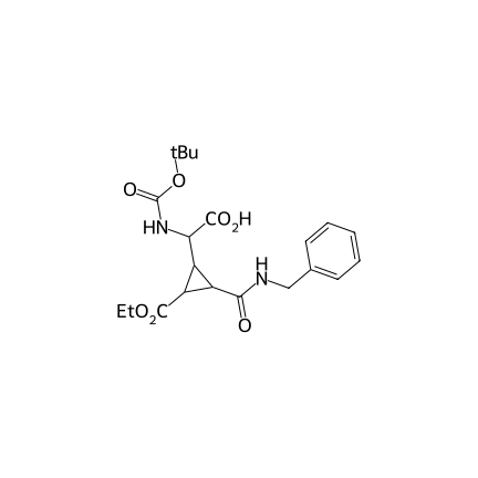 CCOC(=O)C1C(C(=O)NCc2ccccc2)C1C(NC(=O)OC(C)(C)C)C(=O)O